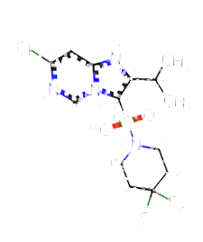 CC(C)c1nc2cc(Cl)ncn2c1S(=O)(=O)N1CCC(F)(F)CC1